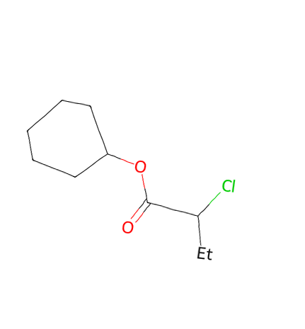 CCC(Cl)C(=O)OC1CCCCC1